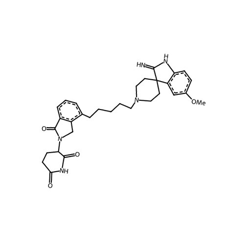 COc1ccc2c(c1)C1(CCN(CCCCCc3cccc4c3CN(C3CCC(=O)NC3=O)C4=O)CC1)C(=N)N2